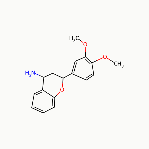 COc1ccc(C2CC(N)c3ccccc3O2)cc1OC